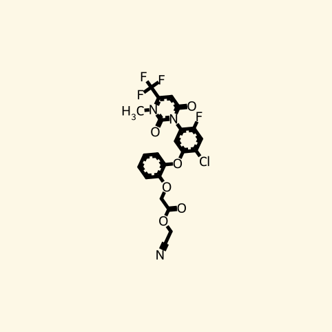 Cn1c(C(F)(F)F)cc(=O)n(-c2cc(Oc3ccccc3OCC(=O)OCC#N)c(Cl)cc2F)c1=O